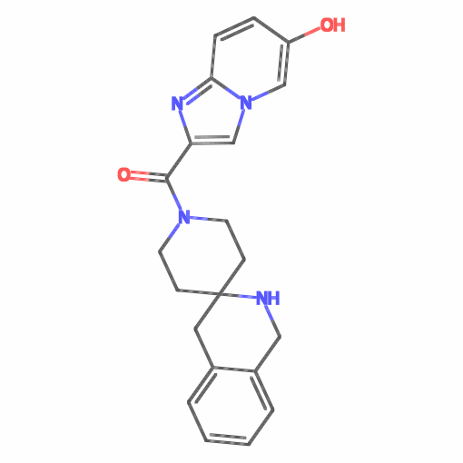 O=C(c1cn2cc(O)ccc2n1)N1CCC2(CC1)Cc1ccccc1CN2